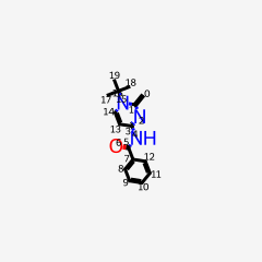 C=C1N=C(NC(=O)c2ccccc2)C=CN1C(C)(C)C